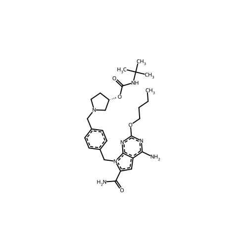 CCCCOc1nc(N)c2cc(C(N)=O)n(Cc3ccc(CN4CC[C@H](OC(=O)NC(C)(C)C)C4)cc3)c2n1